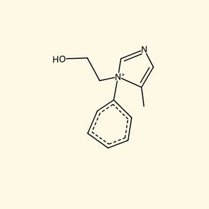 CC1=CN=C[N+]1(CCO)c1ccccc1